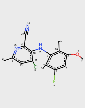 COc1cc(F)c(C)c(Nc2c(Cl)cc(C)nc2C#N)c1C